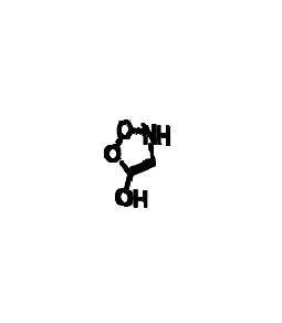 OC1=CNOO1